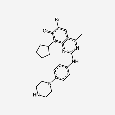 Cc1nc(Nc2ccc(N3CCNCC3)cc2)nc2c1cc(Br)c(=O)n2C1CCCC1